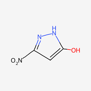 O=[N+]([O-])c1cc(O)[nH]n1